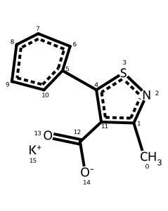 Cc1nsc(-c2ccccc2)c1C(=O)[O-].[K+]